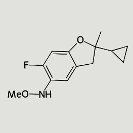 CONc1cc2c(cc1F)OC(C)(C1CC1)C2